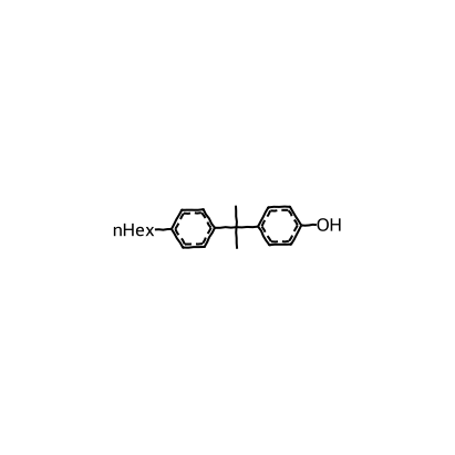 CCCCCCc1ccc(C(C)(C)c2ccc(O)cc2)cc1